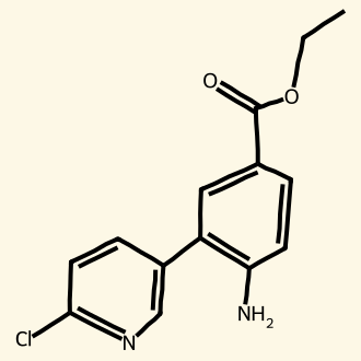 CCOC(=O)c1ccc(N)c(-c2ccc(Cl)nc2)c1